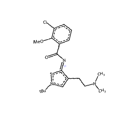 COc1c(Cl)cccc1C(=O)/N=c1\sn(C(C)(C)C)cc1CCN(C)C